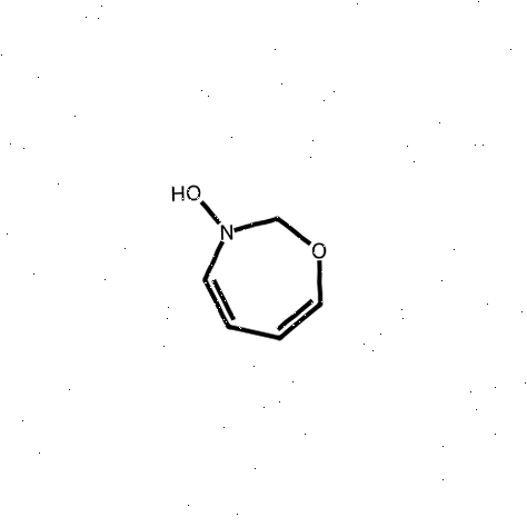 ON1C=CC=COC1